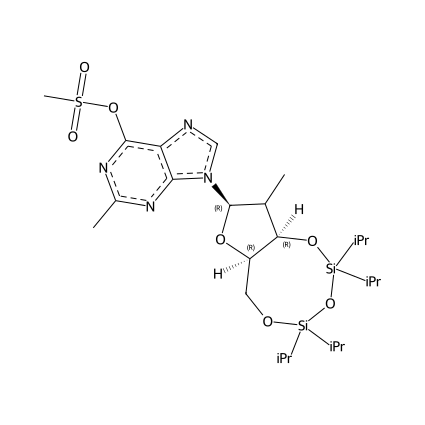 Cc1nc(OS(C)(=O)=O)c2ncn([C@@H]3O[C@@H]4CO[Si](C(C)C)(C(C)C)O[Si](C(C)C)(C(C)C)O[C@@H]4C3C)c2n1